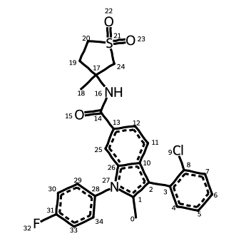 Cc1c(-c2ccccc2Cl)c2ccc(C(=O)NC3(C)CCS(=O)(=O)C3)cc2n1-c1ccc(F)cc1